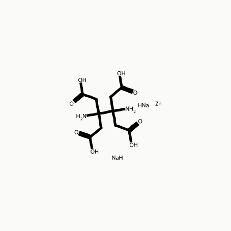 NC(CC(=O)O)(CC(=O)O)C(N)(CC(=O)O)CC(=O)O.[NaH].[NaH].[Zn]